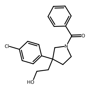 O=C(c1ccccc1)N1CCC(CCO)(c2ccc(Cl)cc2)C1